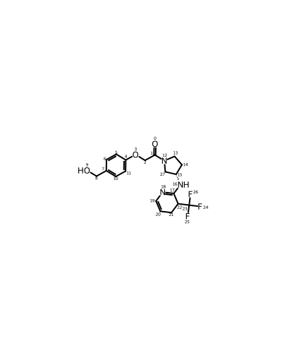 O=C(COc1ccc(CO)cc1)N1CC[C@H](NC2=NC=CCC2C(F)(F)F)C1